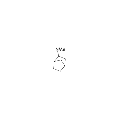 CNC1CC2CCC1C2